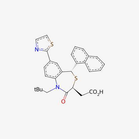 CC(C)(C)CN1C(=O)[C@H](CC(=O)O)S[C@@H](c2cccc3ccccc23)c2cc(-c3nccs3)ccc21